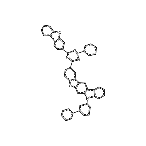 c1ccc(-c2cccc(-n3c4ccccc4c4cc5c(cc43)oc3ccc(-c4nc(-c6ccccc6)nc(-c6ccc7c(c6)oc6ccccc67)n4)cc35)c2)cc1